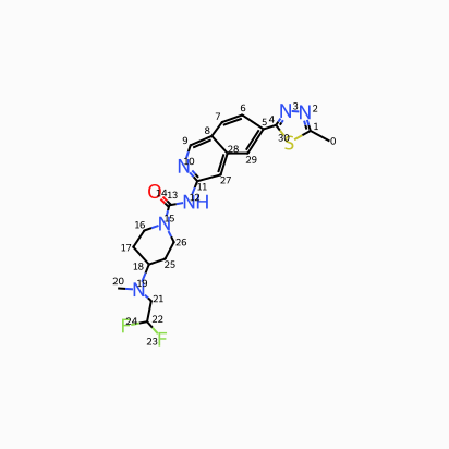 Cc1nnc(-c2ccc3cnc(NC(=O)N4CCC(N(C)CC(F)F)CC4)cc3c2)s1